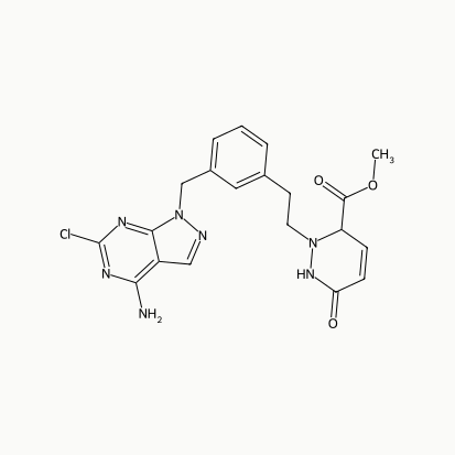 COC(=O)C1C=CC(=O)NN1CCc1cccc(Cn2ncc3c(N)nc(Cl)nc32)c1